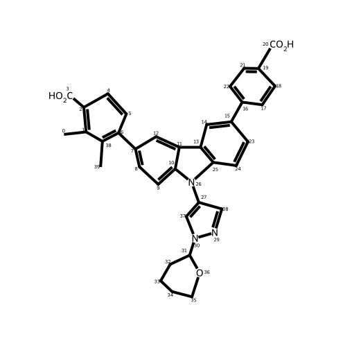 Cc1c(C(=O)O)ccc(-c2ccc3c(c2)c2cc(-c4ccc(C(=O)O)cc4)ccc2n3-c2cnn(C3CCCCO3)c2)c1C